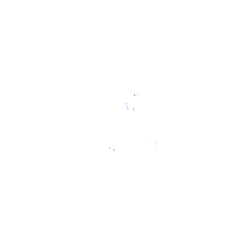 CC(=S)NCC(C)(C)CN(C)C